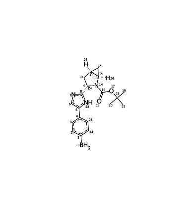 Bc1ccc(-c2cnc([C@@H]3C[C@H]4C[C@H]4N3C(=O)OC(C)(C)C)[nH]2)cc1